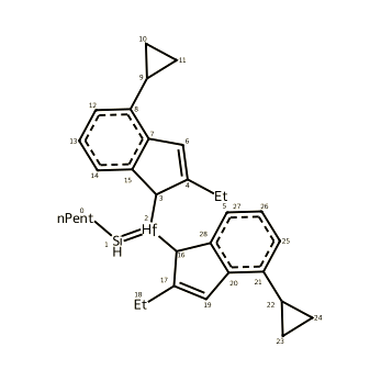 CCCCC[SiH]=[Hf]([CH]1C(CC)=Cc2c(C3CC3)cccc21)[CH]1C(CC)=Cc2c(C3CC3)cccc21